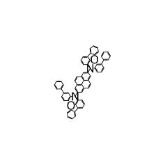 c1ccc(-c2cccc(N(c3cc4ccc5cc(N(c6cccc(-c7ccccc7)c6)c6cccc7c6oc6ccccc67)cc6ccc(c3)c4c56)c3cccc4c3oc3ccccc34)c2)cc1